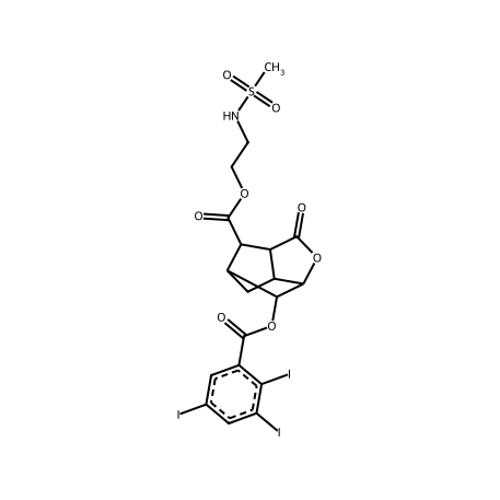 CS(=O)(=O)NCCOC(=O)C1C2CC3C(OC(=O)C31)C2OC(=O)c1cc(I)cc(I)c1I